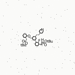 C[C@@H](NC(=O)OC(C)(C)C)c1cccc(-c2cc(CCc3ccncc3)cc(COc3ccccc3CC(=O)OC(C)(C)C)c2)c1F